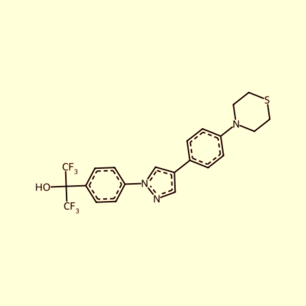 OC(c1ccc(-n2cc(-c3ccc(N4CCSCC4)cc3)cn2)cc1)(C(F)(F)F)C(F)(F)F